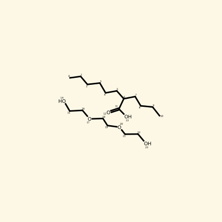 CCCCCCC(CCCC)C(=O)O.OCCOCCOCCO